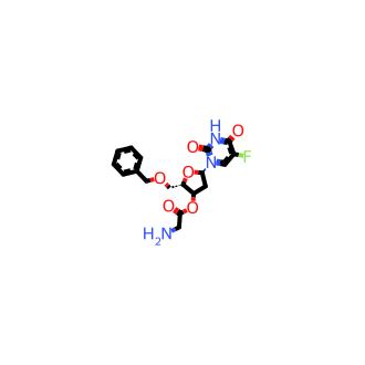 NCC(=O)OC1C[C@@H](n2cc(F)c(=O)[nH]c2=O)O[C@H]1COCc1ccccc1